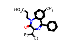 CCC(CC)[C@@H]1N=C(c2ccccc2)c2cc(C)ccc2N(CCC(=O)O)C1=O